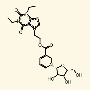 CCn1c(=O)c2c(ncn2CCOC(=O)C2=CC=CN([C@@H]3O[C@H](CO)[C@@H](O)[C@H]3O)C2)n(CC)c1=O